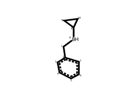 B(Cc1ccccc1)C1CC1